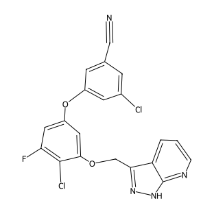 N#Cc1cc(Cl)cc(Oc2cc(F)c(Cl)c(OCc3n[nH]c4ncccc34)c2)c1